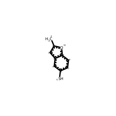 Cc1cc2cc(S)ccc2o1